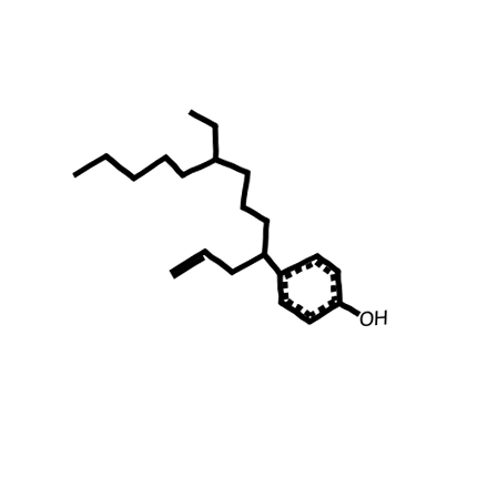 C=CCC(CCCC(CC)CCCCC)c1ccc(O)cc1